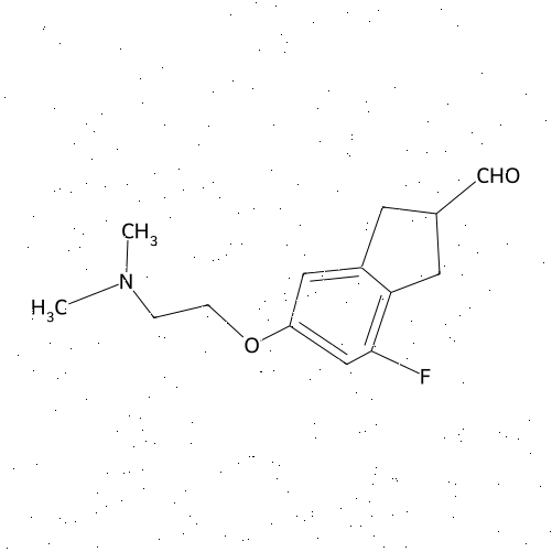 CN(C)CCOc1cc(F)c2c(c1)CC(C=O)C2